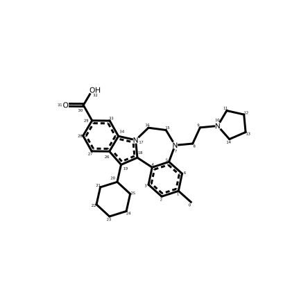 Cc1ccc2c(c1)N(CCN1CCCC1)CCn1c-2c(C2CCCCC2)c2ccc(C(=O)O)cc21